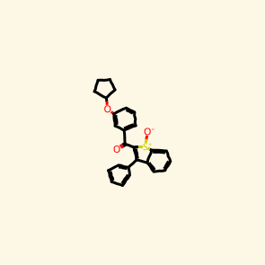 O=C(c1cccc(OC2CCCC2)c1)c1c(-c2ccccc2)c2ccccc2[s+]1[O-]